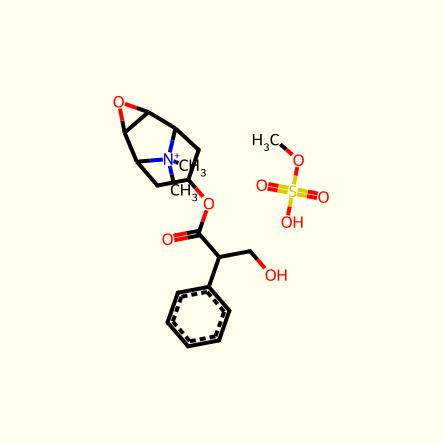 COS(=O)(=O)O.C[N+]1(C)C2CC(OC(=O)C(CO)c3ccccc3)CC1C1OC12